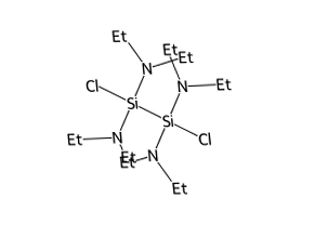 CCN(CC)[Si](Cl)(N(CC)CC)[Si](Cl)(N(CC)CC)N(CC)CC